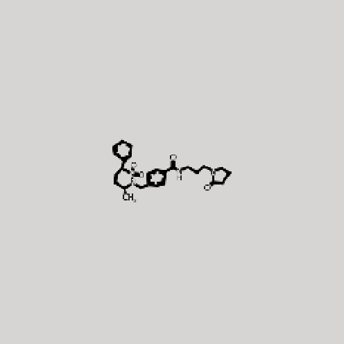 C[C@H]1CCC(c2ccccc2)S(=O)(=O)N1Cc1ccc(C(=O)NCCCN2CCCC2=O)cc1